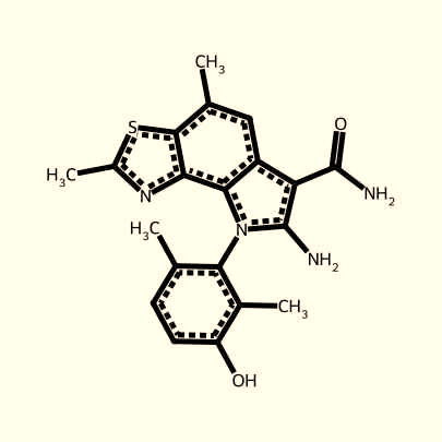 Cc1nc2c(s1)c(C)cc1c(C(N)=O)c(N)n(-c3c(C)ccc(O)c3C)c12